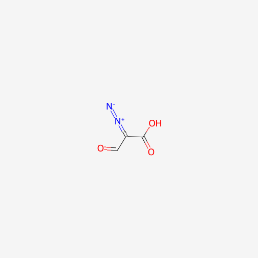 [N-]=[N+]=C(C=O)C(=O)O